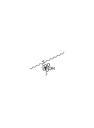 CCCCCCCCCCCCS[C@H](CCCCCCC)[C@H](C)OP(=O)(OCCC)C(=O)O